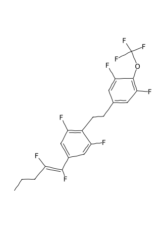 CCCC(F)=C(F)c1cc(F)c(CCc2cc(F)c(OC(F)(F)F)c(F)c2)c(F)c1